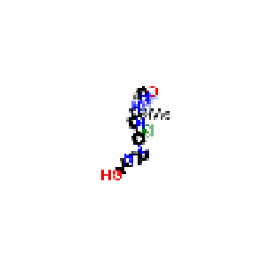 COc1nc(-c2ccc(-n3ccc(C)c3CN3CC(C(C)(C)O)C3)cc2Cl)ccc1CNC[C@@H]1CCC(=O)N1